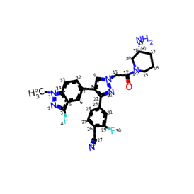 Cn1nc(F)c2cc(-c3cn(CC(=O)N4CCC[C@@H](N)C4)nc3-c3ccc(C#N)c(F)c3)ccc21